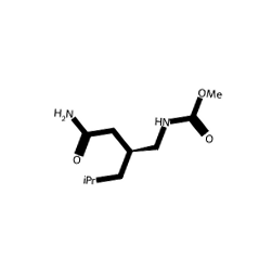 COC(=O)NC[C@H](CC(N)=O)CC(C)C